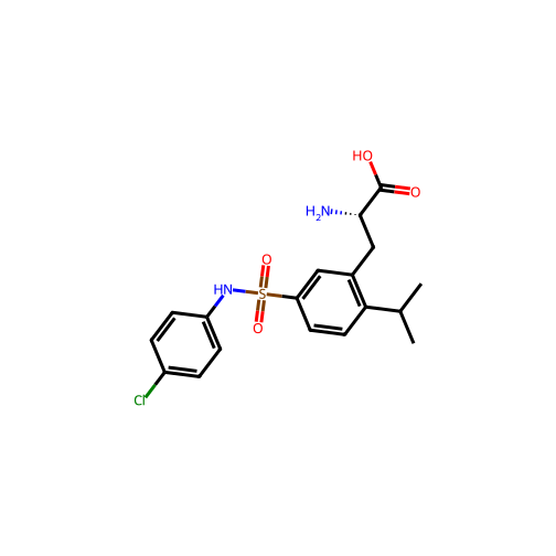 CC(C)c1ccc(S(=O)(=O)Nc2ccc(Cl)cc2)cc1C[C@H](N)C(=O)O